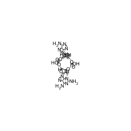 Nc1nc(N)c2ncn([C@@H]3O[C@@H]4COP(=O)(O)O[C@@H]5[C@H](O)[C@@H](COP(=O)(O)CO[C@H]4[C@H]3F)O[C@H]5n3cnc4c(N)ncnc43)c2n1